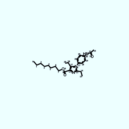 CCCCCCCCOC(=O)c1nc(CC)n(-c2ccc(NC(C)=O)cc2)c1CC